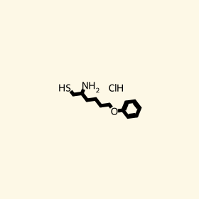 Cl.NC(CS)CCCCOc1ccccc1